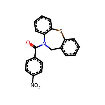 O=C(c1ccc([N+](=O)[O-])cc1)N1Cc2ccccc2Sc2ccccc21